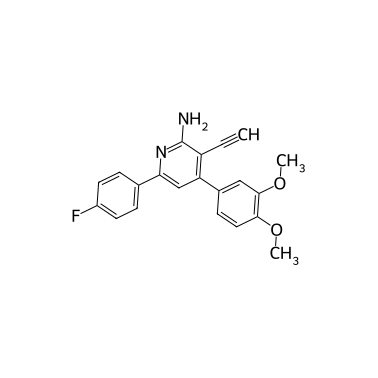 C#Cc1c(-c2ccc(OC)c(OC)c2)cc(-c2ccc(F)cc2)nc1N